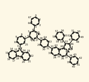 c1ccc(-c2cc(-c3cccc(-n4c5ccccc5c5ccccc54)c3)nc(-c3ccc(-c4ccc5cc(-c6ccccc6)n6nc(-c7ccccc7)c(-c7ccccc7)c6c5c4)cc3)n2)cc1